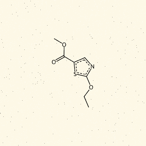 CCOc1ncc(C(=O)OC)s1